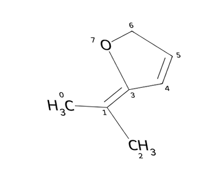 CC(C)=C1C=CCO1